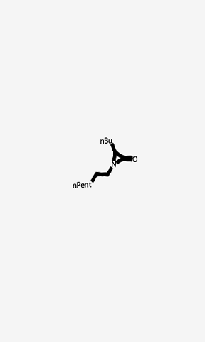 CCCCCCCN1C(=O)C1CCCC